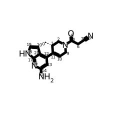 C[C@@H]1CN(C(=O)CC#N)CC=C1c1cc(N)nc2[nH]ccc12